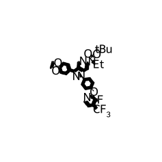 CCN(C(=O)OC(C)(C)C)c1cc2c(cn1)c(C1=CCC3(CC1)OCCO3)nn2[C@H]1CC[C@@H](Oc2nccc(C(F)(F)F)c2F)CC1